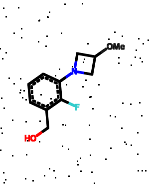 COC1CN(c2cccc(CO)c2F)C1